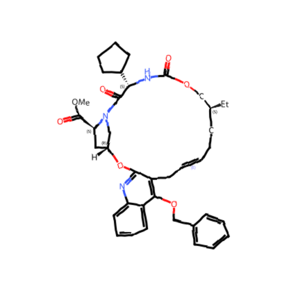 CC[C@H]1CC/C=C/Cc2c(nc3ccccc3c2OCc2ccccc2)O[C@@H]2C[C@@H](C(=O)OC)N(C2)C(=O)[C@H](C2CCCC2)NC(=O)OC1